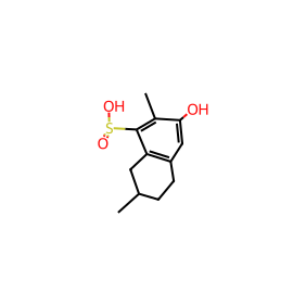 Cc1c(O)cc2c(c1S(=O)O)CC(C)CC2